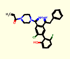 C=CC(=O)N1CCN(C(=N)c2cc(Cl)c(C3C(O)=CC=CC3F)cc2C(=N)Cc2ccccc2)CC1